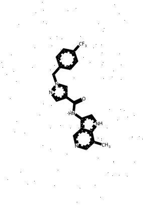 Cc1cncc2c(NC(=O)c3cnn(Cc4ccc(C(F)(F)F)cc4)c3)c[nH]c12